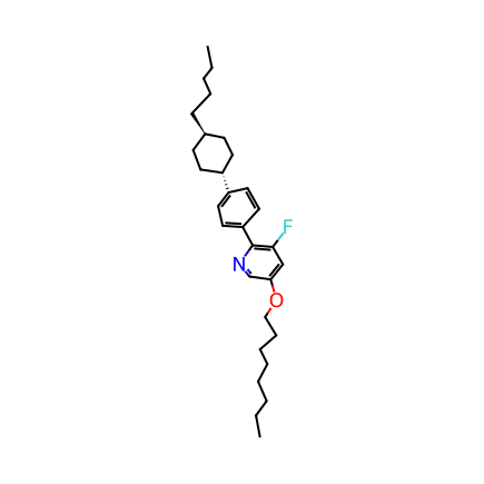 CCCCCCCCOc1cnc(-c2ccc([C@H]3CC[C@H](CCCCC)CC3)cc2)c(F)c1